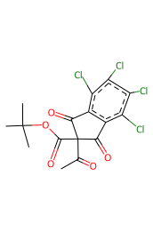 CC(=O)C1(C(=O)OC(C)(C)C)C(=O)c2c(Cl)c(Cl)c(Cl)c(Cl)c2C1=O